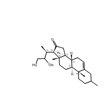 CC1CC[C@@]2(C)C(=CC[C@H]3[C@@H]4CC(=O)[C@H]([C@H](C)C(O)CO)[C@@]4(C)CC[C@@H]32)C1